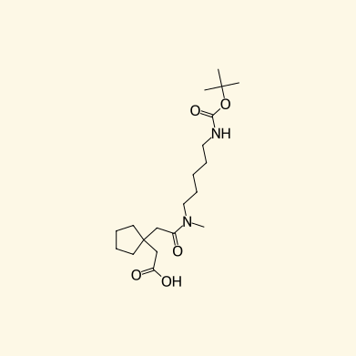 CN(CCCCCNC(=O)OC(C)(C)C)C(=O)CC1(CC(=O)O)CCCC1